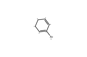 CC(=O)C1=C[CH]CC=C1